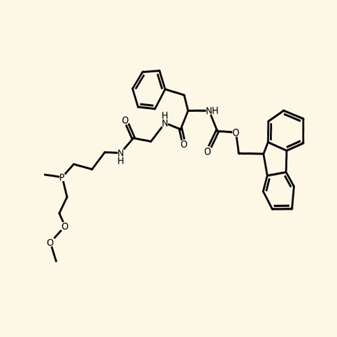 COOCCP(C)CCCNC(=O)CNC(=O)C(Cc1ccccc1)NC(=O)OCC1c2ccccc2-c2ccccc21